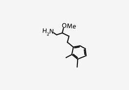 COC(CN)CCc1cccc(C)c1C